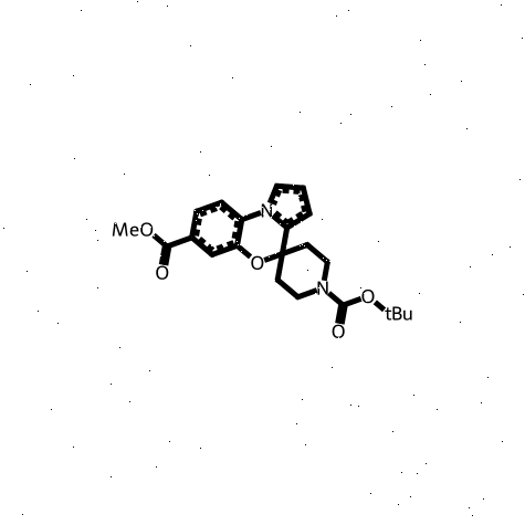 COC(=O)c1ccc2c(c1)OC1(CCN(C(=O)OC(C)(C)C)CC1)c1cccn1-2